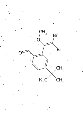 COC(=C(Br)Br)c1cc(C(C)(C)C)ccc1C=O